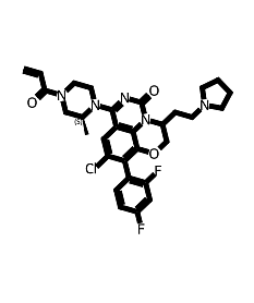 C=CC(=O)N1CCN(c2nc(=O)n3c4c(c(-c5ccc(F)cc5F)c(Cl)cc24)OCC3CCN2CCCC2)[C@@H](C)C1